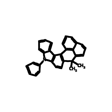 CC1(C)c2ccc3c(c2-c2cccc4cccc1c24)c1ccccc1n3-c1ccccc1